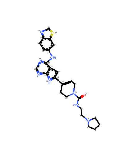 O=C(NCCN1CCCC1)N1CC=C(c2cc3c(Nc4ccc5ncsc5c4)ncnc3[nH]2)CC1